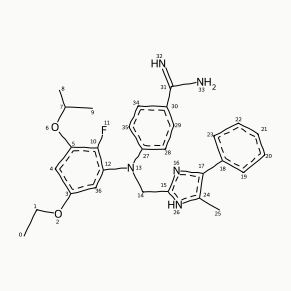 CCOc1cc(OC(C)C)c(F)c(N(Cc2nc(-c3ccccc3)c(C)[nH]2)c2ccc(C(=N)N)cc2)c1